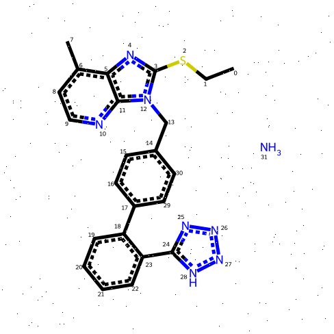 CCSc1nc2c(C)ccnc2n1Cc1ccc(-c2ccccc2-c2nnn[nH]2)cc1.N